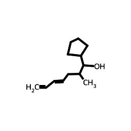 C=C/C=C/CC(C)C(O)C1CCCC1